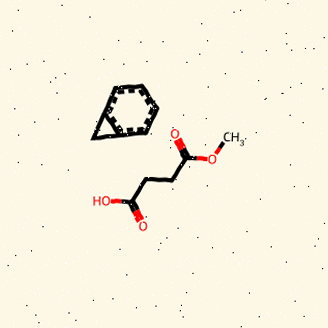 COC(=O)CCC(=O)O.c1ccc2c(c1)C2